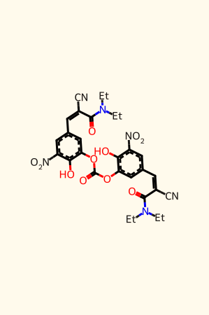 CCN(CC)C(=O)C(C#N)=Cc1cc(OC(=O)Oc2cc(C=C(C#N)C(=O)N(CC)CC)cc([N+](=O)[O-])c2O)c(O)c([N+](=O)[O-])c1